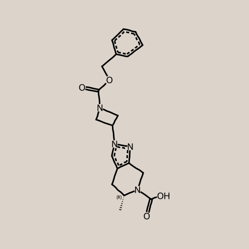 C[C@@H]1Cc2cn(C3CN(C(=O)OCc4ccccc4)C3)nc2CN1C(=O)O